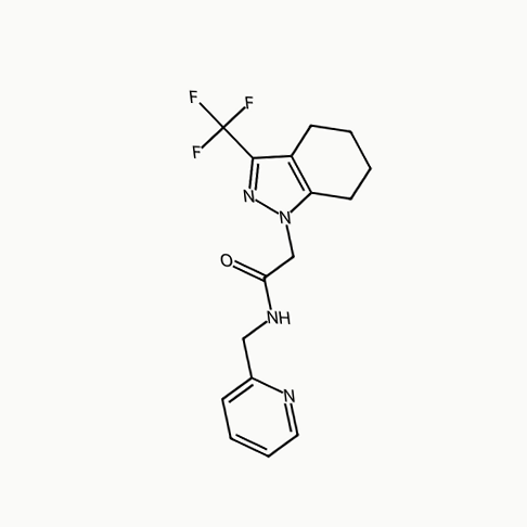 O=C(Cn1nc(C(F)(F)F)c2c1CCCC2)NCc1ccccn1